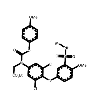 CCOC(=O)CN(C(=O)Oc1ccc(OC)cc1)c1cc(Cl)c(Oc2ccc(OC)c(S(=O)(=O)NC(C)C)c2)c(Cl)c1